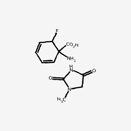 CN1CC(=O)NC1=O.NC1(C(=O)O)C=CC=CC1F